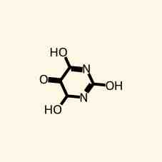 O=C1C(O)=NC(O)=NC1O